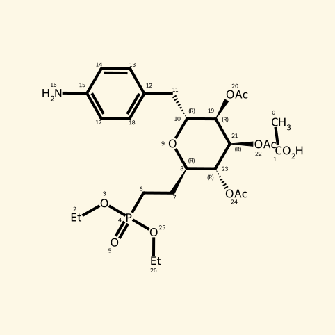 CC(=O)O.CCOP(=O)(CC[C@H]1O[C@H](Cc2ccc(N)cc2)[C@@H](OC(C)=O)[C@@H](OC(C)=O)[C@@H]1OC(C)=O)OCC